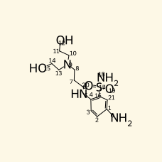 Nc1ccc(NCCCN(CCO)CCO)c(S(N)(=O)=O)c1